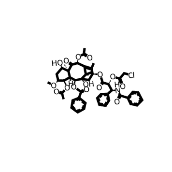 CO[C@@H]1C[C@H](O)[C@@]2(C)C(=O)[C@H](OC(C)=O)C3=C(C)[C@@H](OC(=O)[C@H](OC(=O)CCl)[C@@H](NC(=O)c4ccccc4)c4ccccc4)C[C@@](O)([C@@H](OC(=O)c4ccccc4)[C@@H]2[C@H]1OC(C)=O)C3(C)C